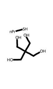 CCCS.OCC(CO)(CO)CO